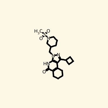 CS(=O)(=O)N1CCCC(Cn2nc(C3CCC3)c3c4c(c(=O)[nH]c32)CCCC4)C1